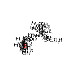 CC1=C(C)C(=O)C(C(C)(C)CC(=O)N(C)CCN(CCCC(=O)NCCCCC(NC(=O)CC[C@@H](C)[C@H]2CC[C@H]3[C@@H]4[C@@H](O)C[C@@H]5C[C@H](O)CC[C@]5(C)[C@H]4CC[C@]23C)C(O)O)C(=O)Oc2ccc3nc(C4=NC(C(=O)O)CS4)sc3c2)=C(C)C1=O